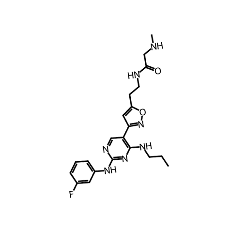 CCCNc1nc(Nc2cccc(F)c2)ncc1-c1cc(CCNC(=O)CNC)on1